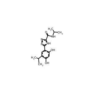 CC(C)NC(=O)c1nnc(-c2cc(C(C)C)c(O)cc2O)[nH]1